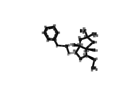 CO[C@H]1O[C@H](COCc2ccccc2)[C@@H]2OC(C)(C)O[C@H]12